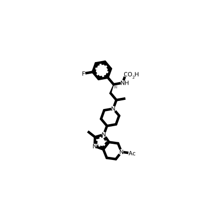 CC(=O)N1CCc2nc(C)n(C3CCN(C(C)C[C@H](NC(=O)O)c4cccc(F)c4)CC3)c2C1